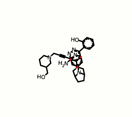 Nc1nnc(-c2ccccc2O)cc1N1CC2CCC(C1)N2c1ccnc(C#CCN2CCCC(CO)C2)c1